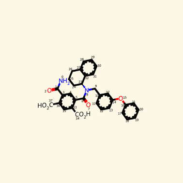 NC(=O)c1cc(C(=O)N(Cc2cccc(Oc3ccccc3)c2)[C@H]2CCCc3ccccc32)c(C(=O)O)cc1C(=O)O